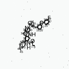 C=CC(=O)Nc1cc(Nc2cc(N3OCC[C@@H]3Cc3cccc(Oc4cccc(F)c4)c3)ncn2)c(OC)cc1N1CCN(CC)CC1